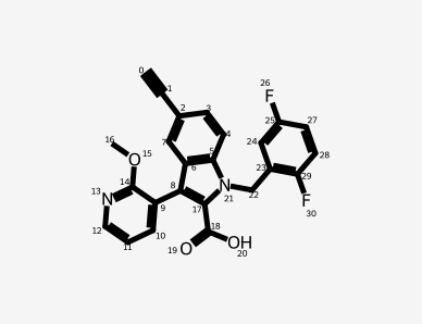 C#Cc1ccc2c(c1)c(-c1cccnc1OC)c(C(=O)O)n2Cc1cc(F)ccc1F